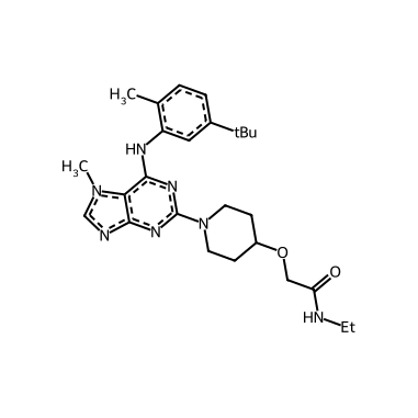 CCNC(=O)COC1CCN(c2nc(Nc3cc(C(C)(C)C)ccc3C)c3c(ncn3C)n2)CC1